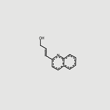 OCC=Cc1ccc2ccccc2n1